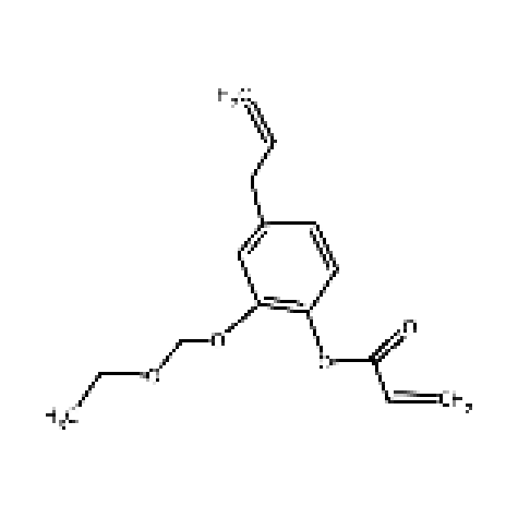 C=CCc1ccc(OC(=O)C=C)c(OCOCC)c1